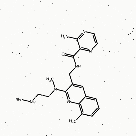 CCCNCCN(C)c1nc2c(C)cccc2cc1CNC(=O)c1nccnc1N